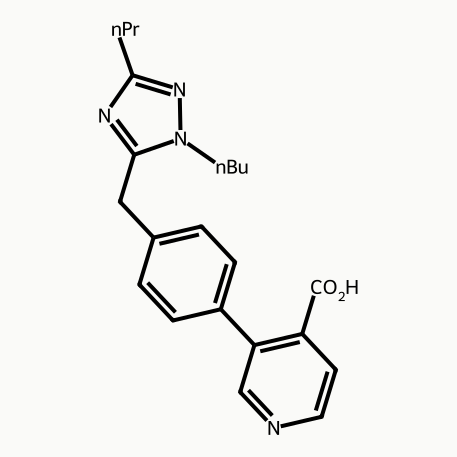 CCCCn1nc(CCC)nc1Cc1ccc(-c2cnccc2C(=O)O)cc1